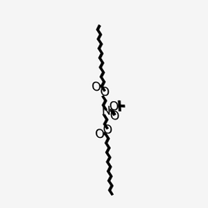 CCCCCCCCCCCCCC(=O)OCCCN(CCCOC(=O)CCCCCCCCCCCCC)C(=O)OC(C)(C)C